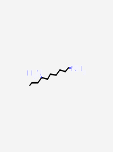 CCCC(N)CCCCCCN